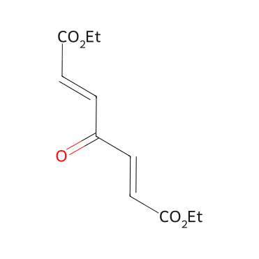 CCOC(=O)C=CC(=O)C=CC(=O)OCC